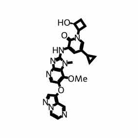 COc1c(Oc2cnn3ccncc23)cnc2nc(Nc3cc(C4CC4)cn(C4CC[C@@H]4O)c3=O)n(C)c12